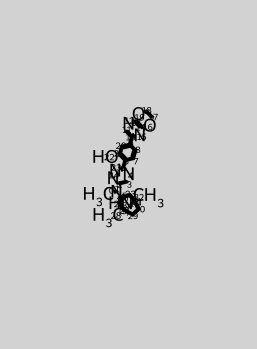 CN(c1cnc(-c2ccc(-c3cnc4c(n3)OCCO4)cc2O)nn1)[C@H]1C[C@]2(C)CC[C@](C)(C1)N2